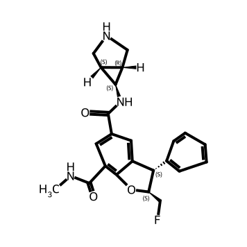 CNC(=O)c1cc(C(=O)N[C@H]2[C@@H]3CNC[C@@H]32)cc2c1O[C@H](CF)[C@H]2c1ccccc1